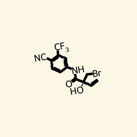 C=C[C@](O)(CBr)C(=O)Nc1ccc(C#N)c(C(F)(F)F)c1